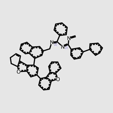 C=N/C(=N\C(=N/Cc1cc(-c2cc(-c3cccc4oc5ccccc5c34)cc3oc4c(c23)C=CCC4)c2ccccc2c1)c1ccccc1)c1cccc(-c2ccccc2)c1